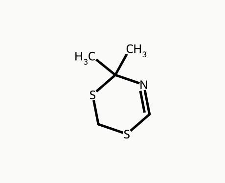 CC1(C)N=CSCS1